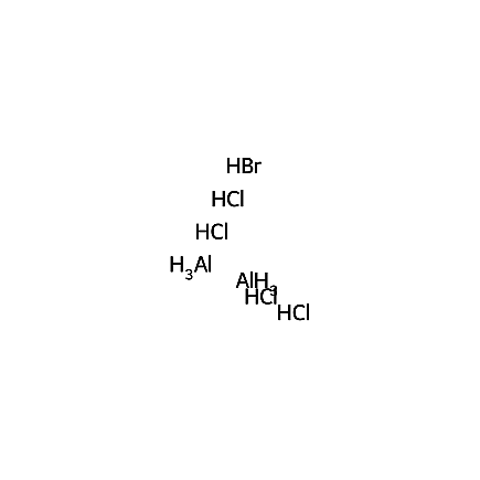 Br.Cl.Cl.Cl.Cl.[AlH3].[AlH3]